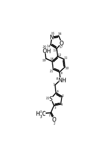 CC(=O)c1ccc(CNc2ccc(-c3cnco3)c(CO)c2)s1